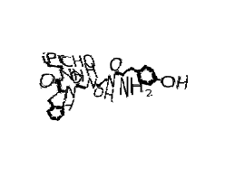 CC(C)C[C@@H]([C]=O)NC(=O)[C@H](Cc1ccccc1)NC(=O)CNC(=O)CNC(=O)[C@@H](N)Cc1ccc(O)cc1